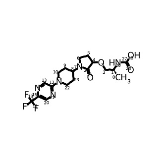 C[C@@H](COC1CCN(C2CCN(c3cnc(C(F)(F)F)cn3)CC2)C1=O)NC(=O)O